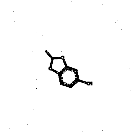 CC1Oc2ccc(C#N)cc2O1